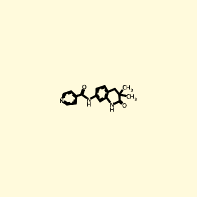 CC1(C)Cc2ccc(NC(=O)c3ccncc3)cc2NC1=O